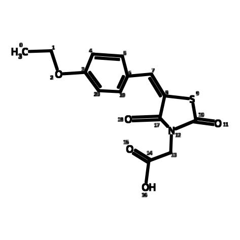 CCOc1ccc(/C=C2/SC(=O)N(CC(=O)O)C2=O)cc1